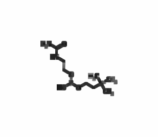 C[N+](C)(C)CCOP(O)OCCNC(N)=O